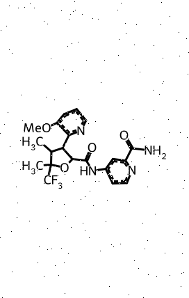 COc1cccnc1C1C(C(=O)Nc2ccnc(C(N)=O)c2)OC(C)(C(F)(F)F)C1C